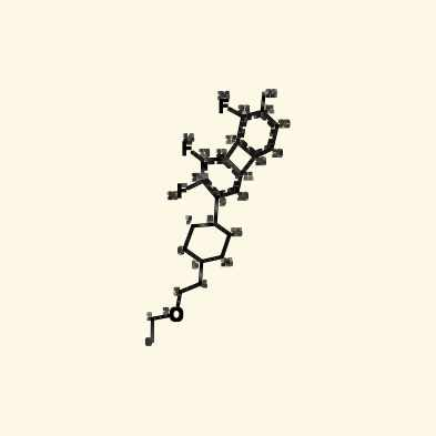 CCOCCC1CCC(c2cc3c(c(F)c2F)-c2c-3ccc(C)c2F)CC1